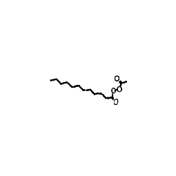 CCCCCCCCCCCC(=O)OOC(C)=O